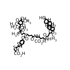 CC1=C(C)C(=O)C(C(C)(C)CC(=O)N(C)CCN(CCCC(=O)NCCCCC(NC(=O)CCC(C)[C@H]2CC[C@H]3[C@@H]4CC[C@@H]5C[C@H](O)CC[C@]5(C)[C@H]4CC[C@]23C)C(=O)O)C(=O)Oc2ccc3nc(C4=NC(C(=O)O)CS4)sc3c2)=C(C)C1=O